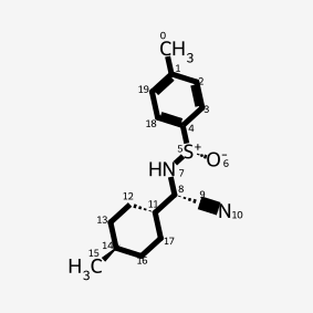 Cc1ccc([S@+]([O-])N[C@H](C#N)[C@H]2CC[C@H](C)CC2)cc1